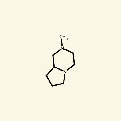 CN1CCN2CCCC2C1